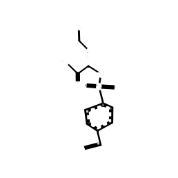 C=Cc1ccc(S(=O)(=O)N[C@@H](CCS)C(=O)O)cc1